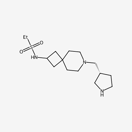 CCS(=O)(=O)NC1CC2(CCN(C[C@@H]3CCNC3)CC2)C1